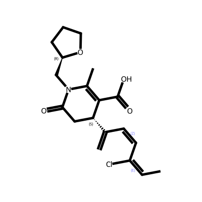 C=C(/C=C\C(Cl)=C/C)[C@@H]1CC(=O)N(C[C@H]2CCCO2)C(C)=C1C(=O)O